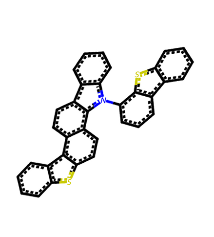 c1ccc2c(c1)sc1c(-n3c4ccccc4c4ccc5c(ccc6sc7ccccc7c65)c43)cccc12